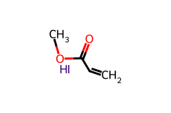 C=CC(=O)OC.I